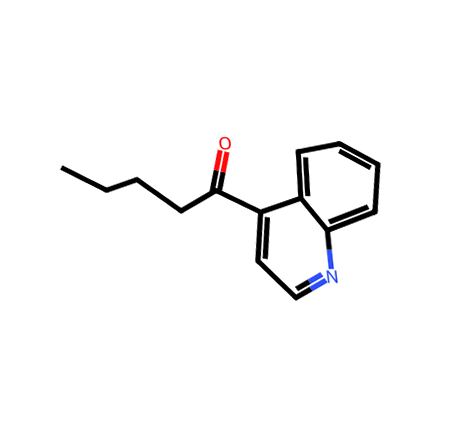 CCCCC(=O)c1ccnc2ccccc12